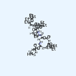 CCO[C@@H](C)O[C@](C)([C@H]1O[C@H]1[C@H](C)[C@H](CC)O[Si](CC)(CC)CC)[C@@](C)(/C=C/C(C)=C(\C)[C@H]1C/C=C/[C@H](OC(=O)N2CCNCC2)CCC[C@@H](O[Si](CC)(CC)CC)CC(=O)O1)O[Si](CC)(CC)CC